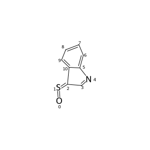 O=S=C1C=Nc2ccccc21